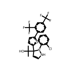 CC(C)(O)C1(c2ccc(-c3ccc(C(F)(F)F)cc3C(F)(F)F)s2)C=CNN1c1ccccc1Cl